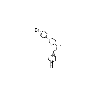 CC(=CCN1CCNCC1)c1ccc(-c2ccc(Br)cc2)cc1